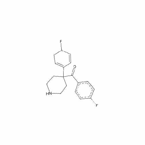 O=C(c1ccc(F)cc1)C1(C2=CCC(F)C=C2)CCNCC1